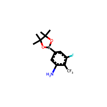 CC1(C)OB(c2cc(N)c(C(F)(F)F)c(F)c2)OC1(C)C